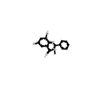 Cn1c(-c2ccccc2)nc2c(Br)cc(Cl)cc2c1=O